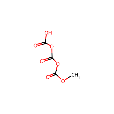 COC(=O)OC(=O)OC(=O)O